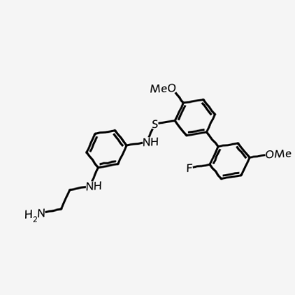 COc1ccc(F)c(-c2ccc(OC)c(SNc3cccc(NCCN)c3)c2)c1